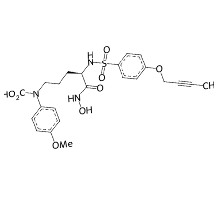 CC#CCOc1ccc(S(=O)(=O)N[C@H](CCCN(C(=O)O)c2ccc(OC)cc2)C(=O)NO)cc1